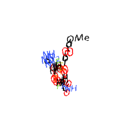 COc1ccc(C(=O)Oc2ccc(CSP3(=O)OC[C@H]4O[C@@H](n5ccc(=O)[nH]c5=O)[C@H](F)[C@@H]4OP(=O)(O)OC[C@H]4O[C@@H](n5cnc6c(N)ncnc65)[C@H](F)[C@@H]4O3)cc2)cc1